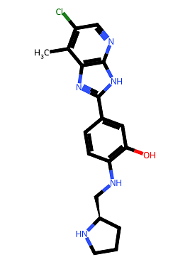 Cc1c(Cl)cnc2[nH]c(-c3ccc(NC[C@H]4CCCN4)c(O)c3)nc12